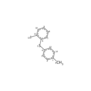 Cc1ccc(Sc2ccccc2I)cc1